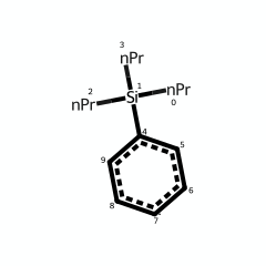 CCC[Si](CCC)(CCC)c1cc[c]cc1